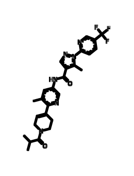 Cc1cc(NC(=O)c2cnn(-c3ccc(C(F)(F)F)cn3)c2C)cnc1C1=CCN(C(=O)C(C)C)CC1